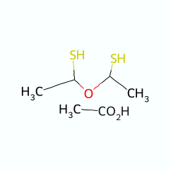 CC(=O)O.CC(S)OC(C)S